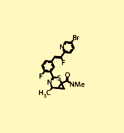 CNC(=O)C12CC1C(C)N=C(c1cc(C=C(F)c3ccc(Br)cn3)ccc1F)S2